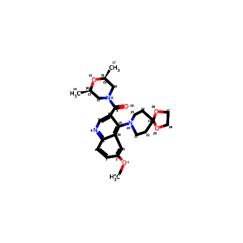 COc1ccc2ncc(C(=O)N3C[C@@H](C)O[C@@H](C)C3)c(N3CCC4(CC3)OCCO4)c2c1